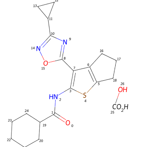 O=C(Nc1sc2c(c1-c1nc(C3CC3)no1)CCC2)C1CCCCC1.O=C(O)O